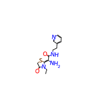 CCN1C(=O)CS/C1=C(/N)C(=O)NCCc1cccnc1